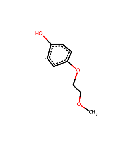 COCCOc1c[c]c(O)cc1